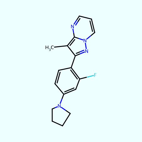 Cc1c(-c2ccc(N3CCCC3)cc2F)nn2cccnc12